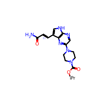 CC(C)OC(=O)N1CCN(c2cnc3[nH]cc(/C=C/C(N)=O)c3n2)CC1